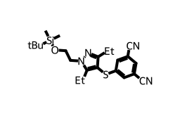 CCc1nn(CCO[Si](C)(C)C(C)(C)C)c(CC)c1Sc1cc(C#N)cc(C#N)c1